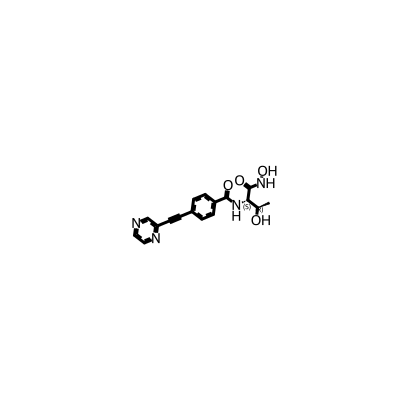 C[C@@H](O)[C@H](NC(=O)c1ccc(C#Cc2cnccn2)cc1)C(=O)NO